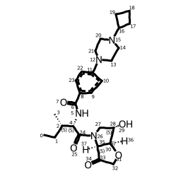 CC[C@H](C)[C@H](NC(=O)c1ccc(N2CCN(C3CCC3)CC2)cc1)C(=O)N1C[C@H](O)[C@H]2OCC(=O)[C@H]21